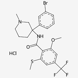 COc1cc(C(F)(F)F)cc(SC)c1C(=O)NC1(c2cccc(Br)c2)CCCN(C)C1.Cl